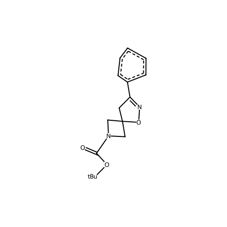 CC(C)(C)OC(=O)N1CC2(CC(c3ccccc3)=NO2)C1